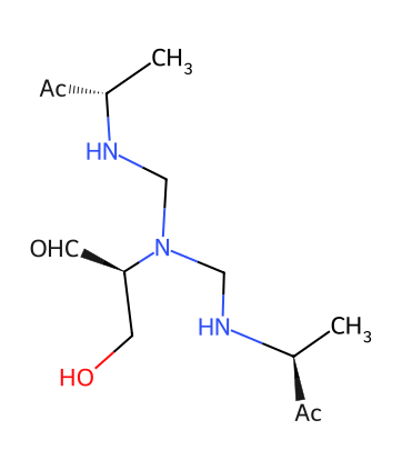 CC(=O)[C@H](C)NCN(CN[C@@H](C)C(C)=O)[C@H](C=O)CO